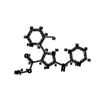 CCCOC(=O)c1sc(Nc2ncccn2)nc1-c1ncccc1C